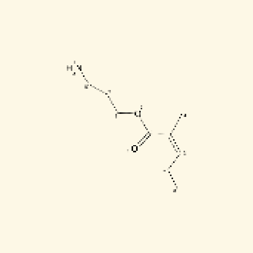 CCC=C(C)C(=O)OCCCN